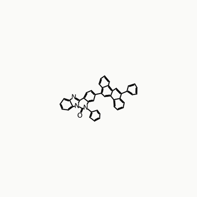 O=c1n(-c2ccccc2)c2cc(-c3cc4c5ccccc5c(-c5ccccc5)cc4c4ccccc34)ccc2c2nc3ccccc3n12